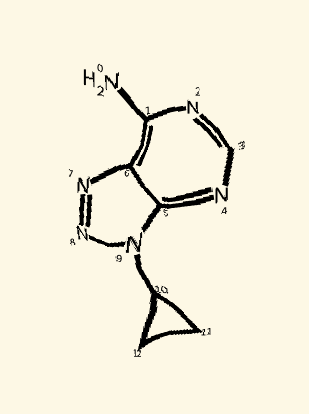 Nc1ncnc2c1nnn2C1CC1